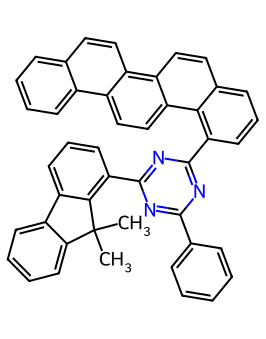 CC1(C)c2ccccc2-c2cccc(-c3nc(-c4ccccc4)nc(-c4cccc5ccc6c7ccc8ccccc8c7ccc6c45)n3)c21